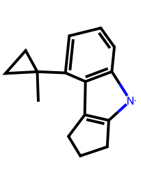 CC1(c2cccc3c2C2=C(CCC2)[N]3)CC1